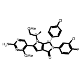 COC[C@@H](C)n1c(-c2cnc(N)nc2OC)cc2c1[C@H](c1ccc(Cl)cc1)N(c1ccc(F)c(Cl)c1)C2=O